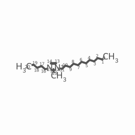 CCCCCCCCCCCC[n+]1ccn(CCCCC)c1C